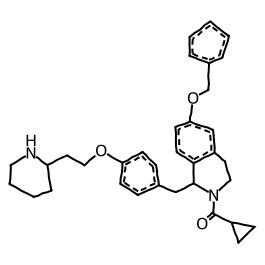 O=C(C1CC1)N1CCc2cc(OCc3ccccc3)ccc2C1Cc1ccc(OCCC2CCCCN2)cc1